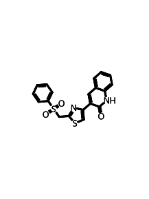 O=c1[nH]c2ccccc2cc1-c1csc(CS(=O)(=O)c2ccccc2)n1